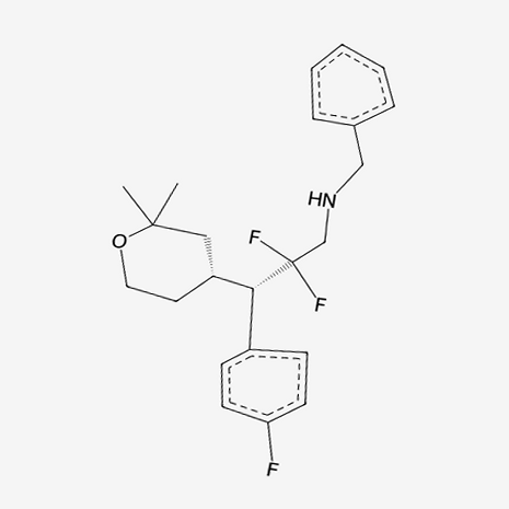 CC1(C)C[C@H]([C@@H](c2ccc(F)cc2)C(F)(F)CNCc2ccccc2)CCO1